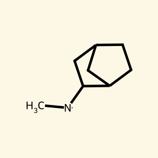 C[N]C1CC2CCC1C2